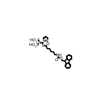 O=C(CCCCCNC(=O)OCC1c2ccccc2-c2ccccc21)N=C(N(C(=O)O)C(=O)O)n1cccn1